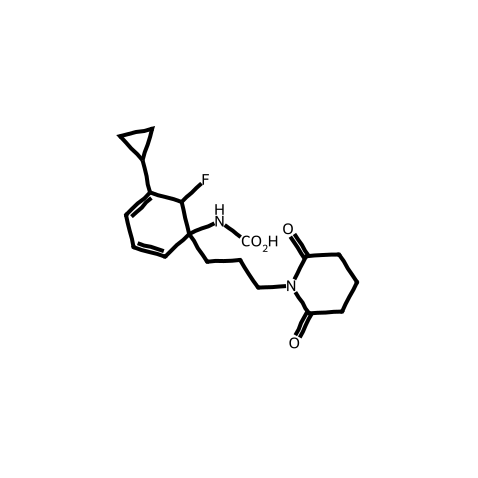 O=C(O)NC1(CCCN2C(=O)CCCC2=O)C=CC=C(C2CC2)C1F